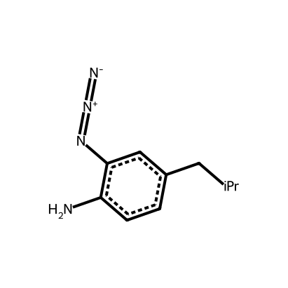 CC(C)Cc1ccc(N)c(N=[N+]=[N-])c1